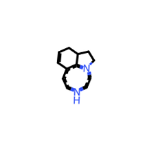 C1=Cc2cc[nH]ccn3c2C(C1)CC3